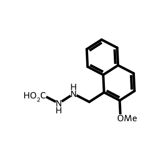 COc1ccc2ccccc2c1CNNC(=O)O